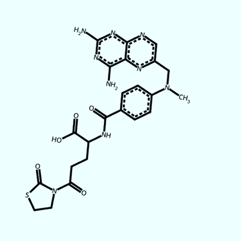 CN(Cc1cnc2nc(N)nc(N)c2n1)c1ccc(C(=O)NC(CCC(=O)N2CCSC2=O)C(=O)O)cc1